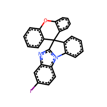 Ic1ccc2c(c1)nc1n2-c2ccccc2C12c1ccccc1Oc1ccccc12